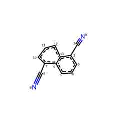 N#Cc1cccc2c(C#N)cc[c]c12